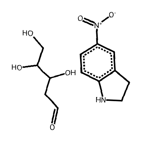 O=CCC(O)C(O)CO.O=[N+]([O-])c1ccc2c(c1)CCN2